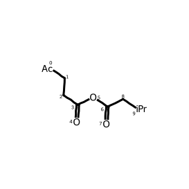 CC(=O)CCC(=O)OC(=O)CC(C)C